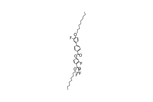 CCCCCCCCCCOc1ccc(-c2ccc(C(=O)Oc3ccc(C(=O)OC(CCCCCCCC)C(F)(F)F)c(F)c3)cc2)cc1F